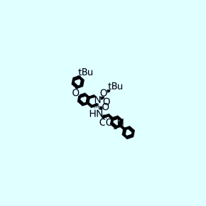 CC(C)(C)COC(=O)N1Cc2cc(Oc3ccc(C(C)(C)C)cc3)ccc2C[C@H]1C(=O)N[C@@H](Cc1ccc(-c2ccccc2)cc1)C(=O)O